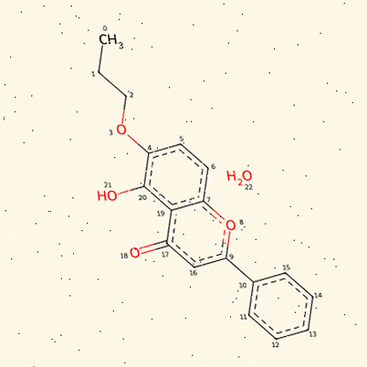 CCCOc1ccc2oc(-c3ccccc3)cc(=O)c2c1O.O